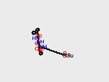 CC(C)(C)OC(=O)CCCCCCCCCCCCCCCCC(=O)N[C@@H](CCC(=O)NCCNC(=O)OCC1c2ccccc2-c2ccccc21)C(=O)OCc1ccccc1